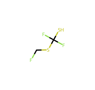 FCSC(F)(F)S